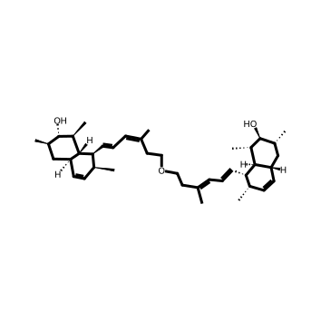 CC(=CC=C[C@@H]1[C@H]2[C@H](C)[C@@H](O)[C@H](C)C[C@@H]2C=C[C@@H]1C)CCOCCC(C)=CC=C[C@@H]1[C@H]2[C@H](C)[C@@H](O)[C@H](C)C[C@@H]2C=C[C@@H]1C